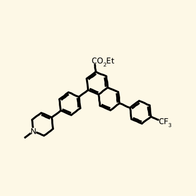 CCOC(=O)c1cc(-c2ccc(C3=CCN(C)CC3)cc2)c2ccc(-c3ccc(C(F)(F)F)cc3)cc2c1